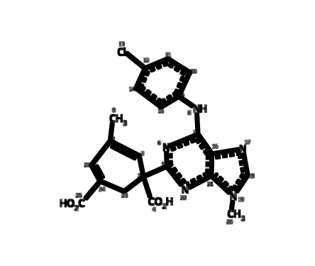 CC1=CC(C(=O)O)(c2nc(Nc3ccc(Cl)cc3)c3ncn(C)c3n2)CC(C(=O)O)=C1